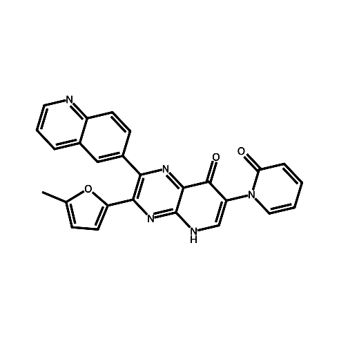 Cc1ccc(-c2nc3[nH]cc(-n4ccccc4=O)c(=O)c3nc2-c2ccc3ncccc3c2)o1